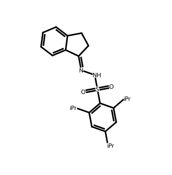 CC(C)c1cc(C(C)C)c(S(=O)(=O)NN=C2CCc3ccccc32)c(C(C)C)c1